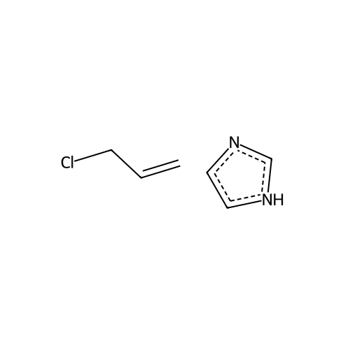 C=CCCl.c1c[nH]cn1